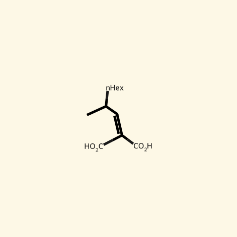 CCCCCCC(C)C=C(C(=O)O)C(=O)O